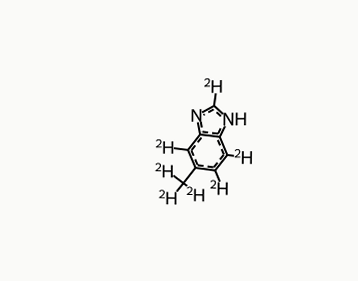 [2H]c1nc2c([2H])c(C([2H])([2H])[2H])c([2H])c([2H])c2[nH]1